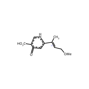 COC/C=C(\C)c1cc(=O)c(C(=O)O)c[nH]1